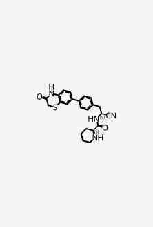 N#C[C@H](Cc1ccc(-c2ccc3c(c2)SCC(=O)N3)cc1)NC(=O)[C@@H]1CCCCN1